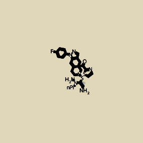 CCCN(N)/C(=C\N)SN1CCC2=Cc3c(cnn3-c3ccc(F)cc3)CC2(C(=O)c2nccs2)C1